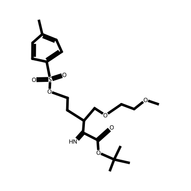 COCCOCC(CCOS(=O)(=O)c1ccc(C)cc1)C(=N)C(=O)OC(C)(C)C